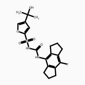 CC(C)(O)c1coc(S(=O)(=O)NC(=O)Nc2c3c(c(F)c4c2CCC4)CCC3)c1